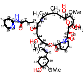 CO[C@H]1C[C@@H](C)[C@@]2(O)O[C@@H]1[C@@H](O)C[C@@H](C)C/C(C)=C/[C@@H](CCCC(=O)Nc1ccccn1)C(=O)C[C@H](O)[C@@H](C)[C@@H](/C(C)=C/[C@@H]1CC[C@@H](O)[C@H](OC)C1)OC(=O)[C@@H]1CCCCN1C(=O)C2=O